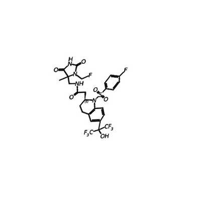 CC1(CNC(=O)C[C@@H]2CCc3cc(C(O)(C(F)(F)F)C(F)(F)F)ccc3N2S(=O)(=O)c2ccc(F)cc2)C(=O)NC(=O)N1CF